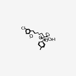 COc1ccc(Cl)cc1CCCCCC(C(=O)O)S(=O)(=O)c1ccc(C)cc1